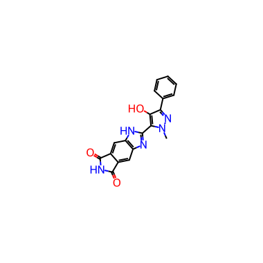 Cn1nc(-c2ccccc2)c(O)c1-c1nc2cc3c(cc2[nH]1)C(=O)NC3=O